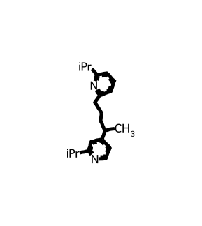 CC(C)c1cc(C(C)CCCc2cccc(C(C)C)n2)ccn1